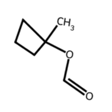 CC1(OC=O)CCC1